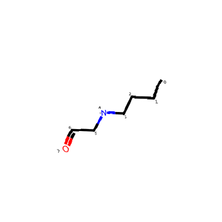 CCCC[N]CC=O